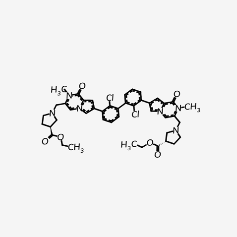 CCOC(=O)[C@H]1CCN(Cc2cn3cc(-c4cccc(-c5cccc(-c6cc7c(=O)n(C)c(CN8CC[C@H](C(=O)OCC)C8)cn7c6)c5Cl)c4Cl)cc3c(=O)n2C)C1